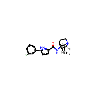 C[C@H]1[C@H](NC(=O)c2ccc(-c3cccc(F)c3)[nH]2)C2CCN1CC2